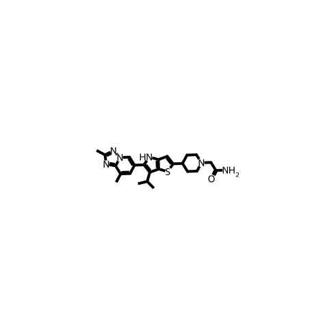 Cc1nc2c(C)cc(-c3[nH]c4cc(C5CCN(CC(N)=O)CC5)sc4c3C(C)C)cn2n1